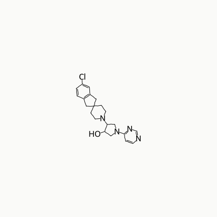 OC1CN(c2ccncn2)CC1N1CCC2(CC1)Cc1ccc(Cl)cc1C2